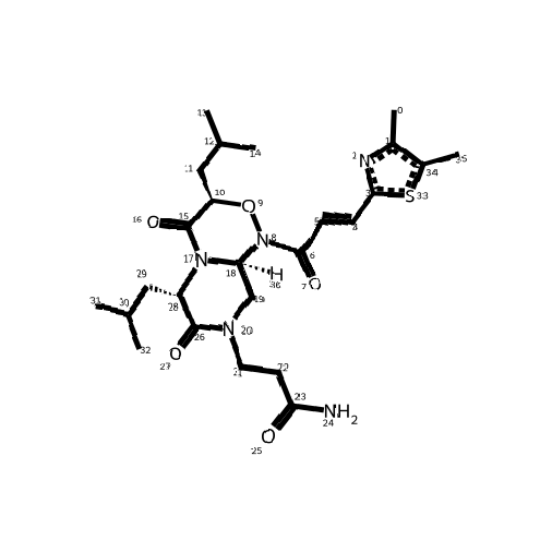 Cc1nc(/C=C/C(=O)N2O[C@H](CC(C)C)C(=O)N3[C@@H]2CN(CCC(N)=O)C(=O)[C@@H]3CC(C)C)sc1C